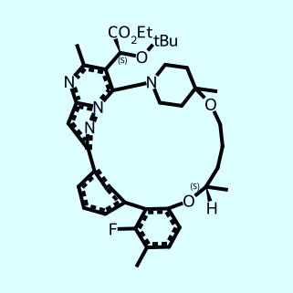 CCOC(=O)[C@@H](OC(C)(C)C)c1c(C)nc2cc3nn2c1N1CCC(C)(CC1)OCCC[C@H](C)Oc1ccc(C)c(F)c1-c1cccc-3c1